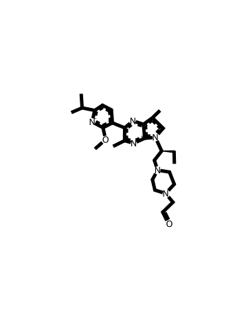 CC[C@@H](CN1CCN(CC=O)CC1)n1cc(C)c2nc(-c3ccc(C(C)C)nc3OC)c(C)nc21